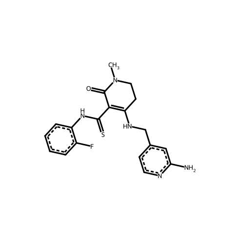 CN1CCC(NCc2ccnc(N)c2)=C(C(=S)Nc2ccccc2F)C1=O